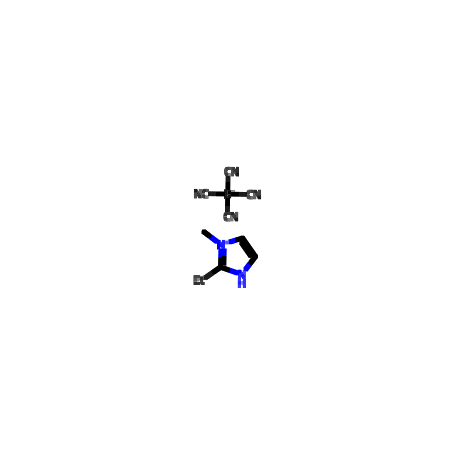 CCc1[nH]cc[n+]1C.N#C[B-](C#N)(C#N)C#N